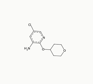 Nc1cc(Cl)cnc1OC1CCOCC1